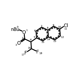 CCCCOC(=O)C(c1ccc2cc(Cl)ccc2c1)C(F)F